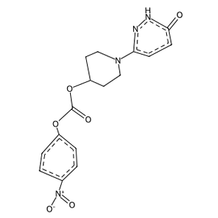 O=C(Oc1ccc([N+](=O)[O-])cc1)OC1CCN(c2ccc(=O)[nH]n2)CC1